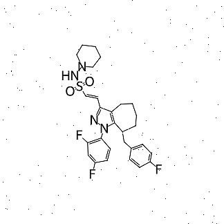 O=S(=O)(C=Cc1nn(-c2ccc(F)cc2F)c2c1CCCCC2Cc1ccc(F)cc1)NN1CCCCC1